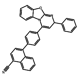 N#Cc1ccc(-c2ccc(C3=CC(c4ccccc4)N=C4Oc5ccccc5N34)cc2)c2ccccc12